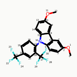 COc1ccc2c(c1)c1cc(OC)ccc1n2-c1ccc(C(F)(F)F)cc1C(F)(F)F